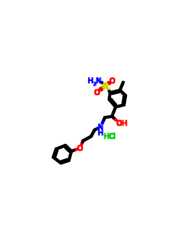 Cc1ccc(C(O)CNCCCOc2ccccc2)cc1S(N)(=O)=O.Cl